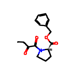 CCC(=O)C(=O)N1CCC[C@H]1C(=O)OCc1ccccc1